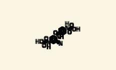 N#Cc1cc(NC(=O)C(=O)O)ccc1NC(=O)c1ccc(NC(=O)C(=O)O)cc1